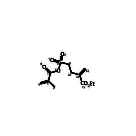 C=C(C)C(=O)OS(=O)(=O)CCC(=C)C(=O)OCC